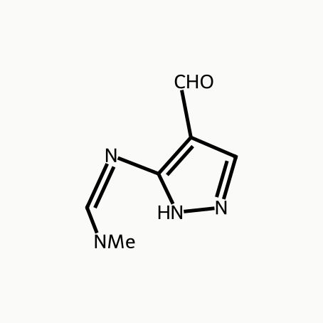 CN/C=N\c1[nH]ncc1C=O